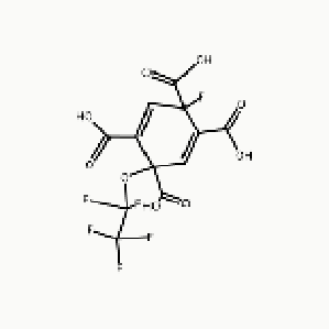 O=C(O)C1=CC(OC(F)(F)C(F)(F)F)(C(=O)O)C(C(=O)O)=CC1(F)C(=O)O